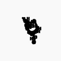 CO[C@H]1/C=C/OC2(C)Oc3c(C)c(O)c4c(c3C2=O)C2=NC3(CCN(CC(C)C)CC3)NC2=C(NC(=O)/C(C)=C\C=C\[C@H](C)[C@H](O)[C@@H](C)[C@@H](O)[C@@H](C)[C@H](OC(=O)CCC(=O)NCc2ccccc2)[C@@H]1C)C4=O